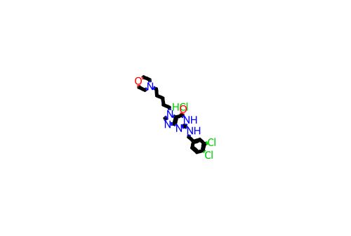 Cl.O=c1[nH]c(NCc2ccc(Cl)c(Cl)c2)nc2ncn(CCCCCN3CCOCC3)c12